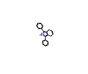 Cn1c(-c2ccccc2)c2c(c1-c1ccccc1)CC=CC2